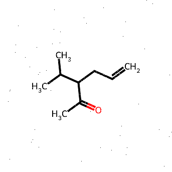 C=CCC(C(C)=O)C(C)C